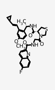 COc1ccc([C@H](C)NC(=O)[C@@H]2CSCN2C(=O)CNC(=O)c2ccc3cc(F)ccc3n2)c(/C=C/C2CC2)c1